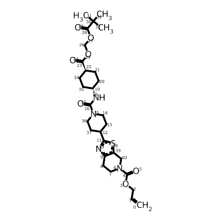 C=CCOC(=O)N1CCc2nc(C3CCN(C(=O)N[C@H]4CC[C@H](C(=O)OCOC(=O)C(C)(C)C)CC4)CC3)sc2C1